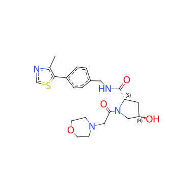 Cc1ncsc1-c1ccc(CNC(=O)[C@@H]2C[C@@H](O)CN2C(=O)CN2CCOCC2)cc1